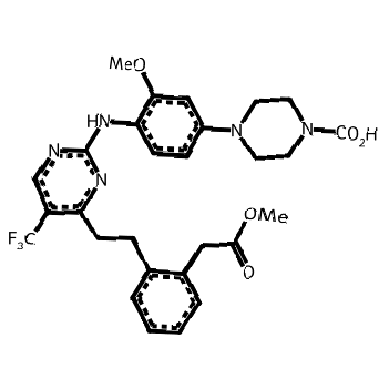 COC(=O)Cc1ccccc1CCc1nc(Nc2ccc(N3CCN(C(=O)O)CC3)cc2OC)ncc1C(F)(F)F